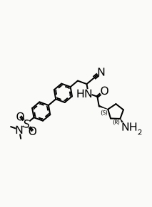 CN(C)S(=O)(=O)c1ccc(-c2ccc(CC(C#N)NC(=O)C[C@H]3CC[C@@H](N)C3)cc2)cc1